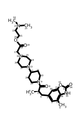 Cc1cc(C[C@@H](C)C(=O)N2CCC(N3CCN(CC(=O)OCCN(C)C)CC3)CC2)cc2oc(=O)[nH]c12